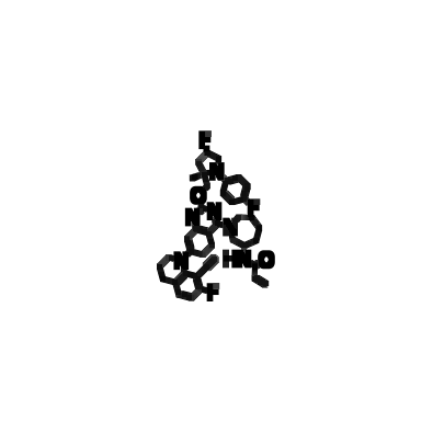 C#Cc1c(F)ccc2c1N(C1=Cc3nc(OC[C@]4(C)C[C@@H](F)CN4c4ccc(F)cc4)nc(N4CCCCC(NC(=O)C=C)C4)c3CC1)CCC2